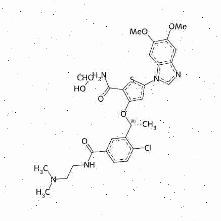 COc1cc2ncn(-c3cc(O[C@H](C)c4cc(C(=O)NCCN(C)C)ccc4Cl)c(C(N)=O)s3)c2cc1OC.O=CO